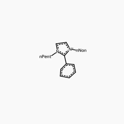 CCCCCCCCC[n+]1ccn(CCCCC)c1-c1ccccc1